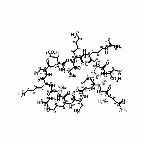 CC[C@H](C)[C@H](NC(=O)[C@H](CCC(=O)O)NC(=O)[C@H](CC(C)C)NC(=O)[C@H](CCCCN)NC(=O)[C@@H](NC(=O)[C@H](CCCNC(=N)N)NC(=O)[C@H](CO)NC(=O)[C@H](CC(C)C)NC(=O)[C@@H](NC(=O)[C@@H](N)CCC(N)=O)C(C)C)[C@@H](C)CC)C(=O)N[C@@H](CCCCN)C(=O)N[C@@H](CCCNC(=N)N)C(=O)N[C@@H](CS)C(=O)N[C@@H](CC(C)C)C(=O)O